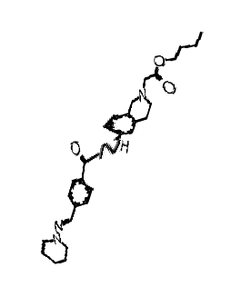 CCCCOC(=O)CN1CCc2cc(NC(=O)c3ccc(C=NN4CCCCC4)cc3)ccc2C1